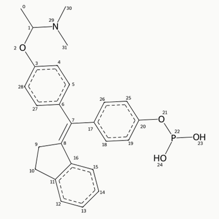 CC(Oc1ccc(C(=C2CCc3ccccc32)c2ccc(OP(O)O)cc2)cc1)N(C)C